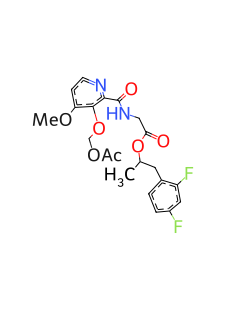 COc1ccnc(C(=O)NCC(=O)OC(C)Cc2ccc(F)cc2F)c1OCOC(C)=O